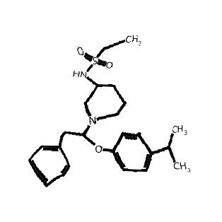 CCS(=O)(=O)NC1CCCN(C(Cc2ccccc2)Oc2ccc(C(C)C)cc2)C1